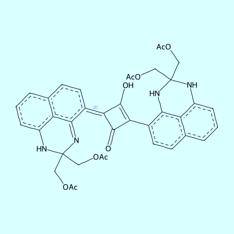 CC(=O)OCC1(COC(C)=O)N=c2/c(=C3\C(=O)C(c4ccc5cccc6c5c4NC(COC(C)=O)(COC(C)=O)N6)=C3O)ccc3cccc(c23)N1